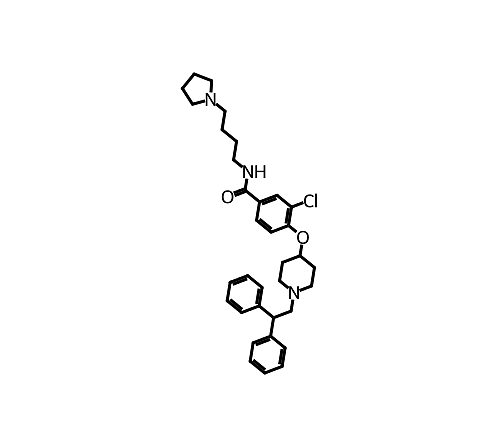 O=C(NCCCCN1CCCC1)c1ccc(OC2CCN(CC(c3ccccc3)c3ccccc3)CC2)c(Cl)c1